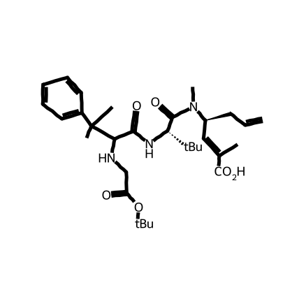 C=CC[C@@H](/C=C(\C)C(=O)O)N(C)C(=O)[C@@H](NC(=O)C(NCC(=O)OC(C)(C)C)C(C)(C)c1ccccc1)C(C)(C)C